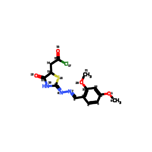 COc1ccc(C=NN=C2NC(=O)C(CC(=O)Cl)S2)c(OC)c1